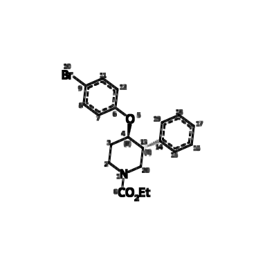 CCOC(=O)N1CC[C@@H](Oc2ccc(Br)cc2)[C@H](c2ccccc2)C1